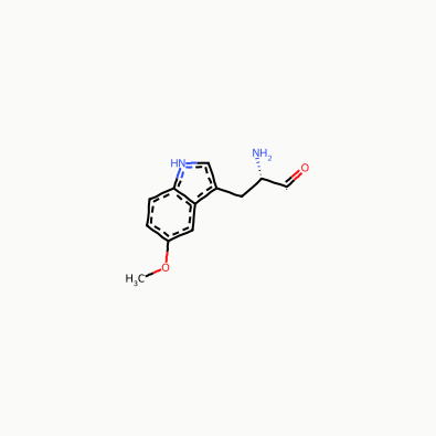 COc1ccc2[nH]cc(C[C@H](N)[C]=O)c2c1